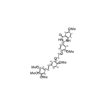 COc1ccc2c(c1)C(=O)NC(c1ccc(OCCOc3cc(/C=C/c4cc(OC)c(OC)c(OC)c4)ccc3OC)c(OC)c1)N2